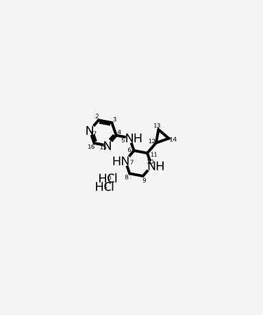 Cl.Cl.c1cc(NC2NCCNC2C2CC2)ncn1